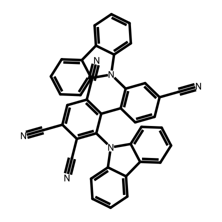 N#Cc1ccc(-c2c(C#N)cc(C#N)c(C#N)c2-n2c3ccccc3c3ccccc32)c(-n2c3ccccc3c3ccccc32)c1